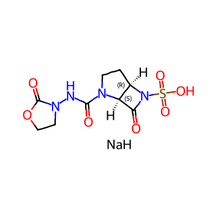 O=C1OCCN1NC(=O)N1CC[C@@H]2[C@H]1C(=O)N2S(=O)(=O)O.[NaH]